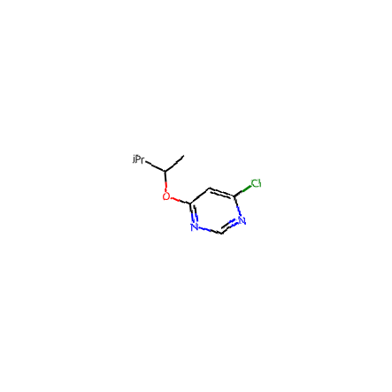 CC(C)C(C)Oc1cc(Cl)ncn1